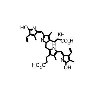 C=CC1=C(C)C(O)=NC1=Cc1[nH]c(CC2N=C(C=C3N=C(O)C(C=C)=C3C)C(C)=C2CCC(=O)O)c(CCC(=O)O)c1C.[KH]